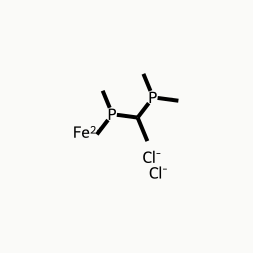 CC(P(C)C)P(C)C.[Cl-].[Cl-].[Fe+2]